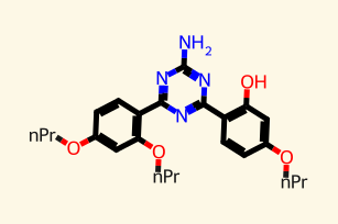 CCCOc1ccc(-c2nc(N)nc(-c3ccc(OCCC)cc3OCCC)n2)c(O)c1